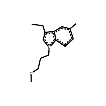 CCc1cn(CCCOC)c2ccc(C)cc12